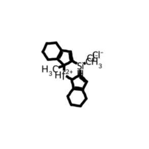 C[SiH]1C2=CC3=C(CCCC3)[CH]2[Hf+2][C]2(C)C1=CC1=C2CCCC1.[Cl-].[Cl-]